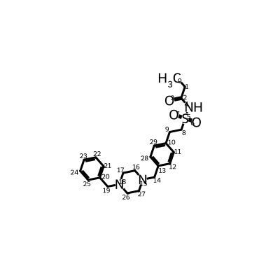 CCC(=O)NS(=O)(=O)CCc1ccc(CN2CCN(Cc3ccccc3)CC2)cc1